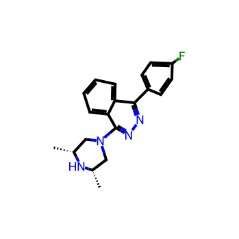 C[C@@H]1CN(c2nnc(-c3ccc(F)cc3)c3ccccc23)C[C@H](C)N1